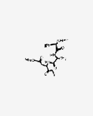 COC(=O)CC(NC(=O)C(C)NC(=O)C(NC(C)=O)C(C)C)C(=O)CF